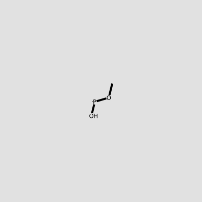 CO[P]O